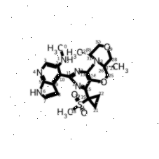 CNc1cnc2[nH]ccc2c1-c1nc2c(c(C3(S(C)(=O)=O)CC3)n1)OC[C@]1(C)COC[C@@H](C)N21